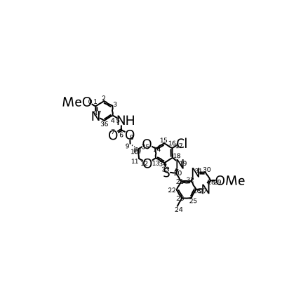 COc1ccc(NC(=O)OC[C@H]2COc3c(cc(Cl)c4nc(-c5cc(C)cc6nc(OC)cnc56)sc34)O2)cn1